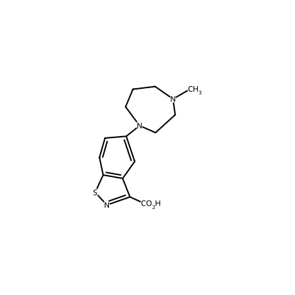 CN1CCCN(c2ccc3snc(C(=O)O)c3c2)CC1